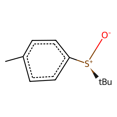 Cc1ccc([S@@+]([O-])C(C)(C)C)cc1